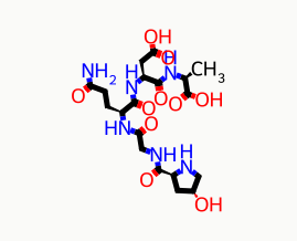 C[C@H](NC(=O)[C@H](CC(=O)O)NC(=O)[C@H](CCC(N)=O)NC(=O)CNC(=O)[C@@H]1C[C@@H](O)CN1)C(=O)O